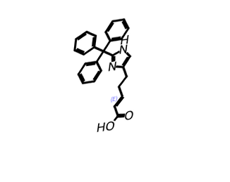 O=C(O)/C=C/CCc1c[nH]c(C(c2ccccc2)(c2ccccc2)c2ccccc2)n1